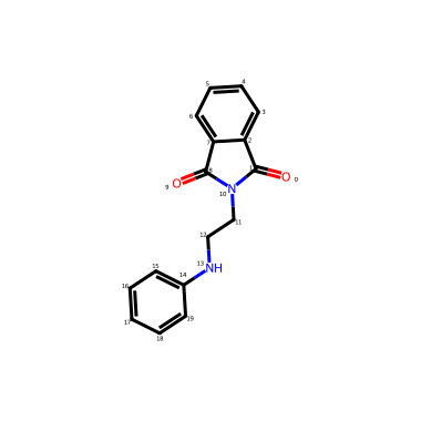 O=C1c2ccccc2C(=O)N1CCNc1ccccc1